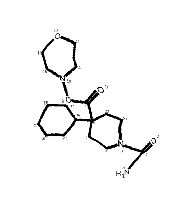 NC(=O)N1CCC(C(=O)ON2CCOCC2)(C2CCCCC2)CC1